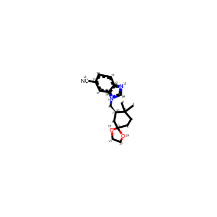 CC1(C)CCC2(C[C@H]1Cn1cnc3ccc(C#N)cc31)OCCO2